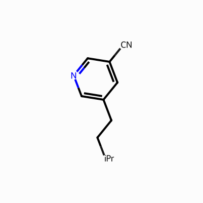 CC(C)CCc1cncc(C#N)c1